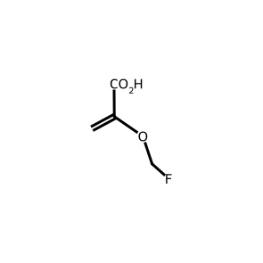 C=C(OCF)C(=O)O